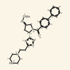 CON=C1C[C@@H](c2noc(CCN3CCNCC3)n2)N(C(=O)c2ccc(-c3ccccc3)cc2)C1